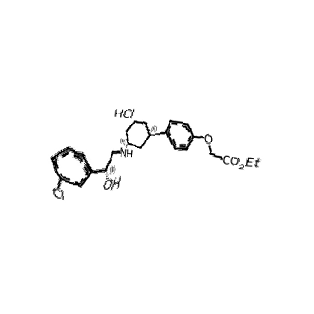 CCOC(=O)COc1ccc([C@@H]2CCC[C@@H](NC[C@H](O)c3cccc(Cl)c3)C2)cc1.Cl